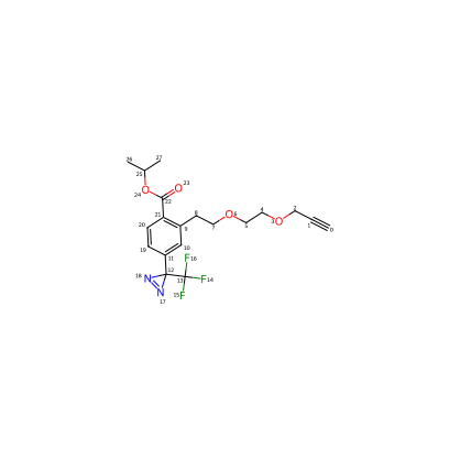 C#CCOCCOCCc1cc(C2(C(F)(F)F)N=N2)ccc1C(=O)OC(C)C